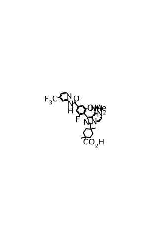 COc1cc(C(=O)Nc2cc(C(F)(F)F)ccn2)cc(F)c1-c1nc(C2(C)CCC(C)(C(=O)O)CC2)n2ccnc(N)c12